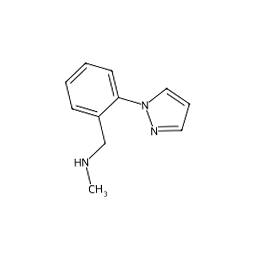 CNCc1ccccc1-n1cccn1